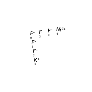 [F-].[F-].[F-].[F-].[F-].[K+].[Ni+4]